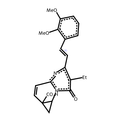 CCc1c(/C=C/c2cccc(OC)c2OC)nc2n(c1=O)C1CC1(C(=O)O)C=C2